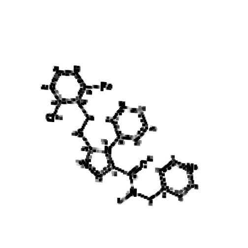 CN(Cc1ccncc1)C(=O)c1cnc(SCc2c(F)cccc2Cl)n1-c1ccccc1